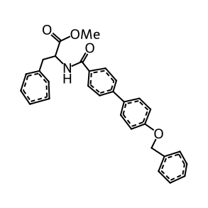 COC(=O)C(Cc1ccccc1)NC(=O)c1ccc(-c2ccc(OCc3ccccc3)cc2)cc1